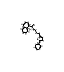 CC(NCCCc1ccc(-c2ccccc2)o1)c1cccc2ccccc12